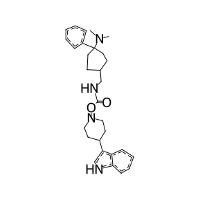 CN(C)C1(c2ccccc2)CCC(CNC(=O)ON2CCC(c3c[nH]c4ccccc34)CC2)CC1